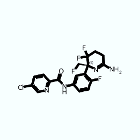 NC1=N[C@](CF)(c2cc(NC(=O)c3ccc(Cl)cn3)ccc2F)C(F)(F)CC1